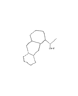 CC(O)C1CCCC2CC3CCCCC3CC21